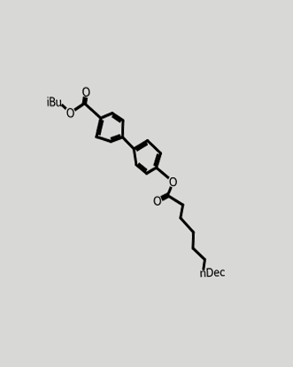 CCCCCCCCCCCCCCCC(=O)Oc1ccc(-c2ccc(C(=O)OC(C)CC)cc2)cc1